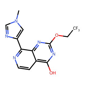 Cn1cnc(-c2nccc3c(O)nc(OCC(F)(F)F)nc23)c1